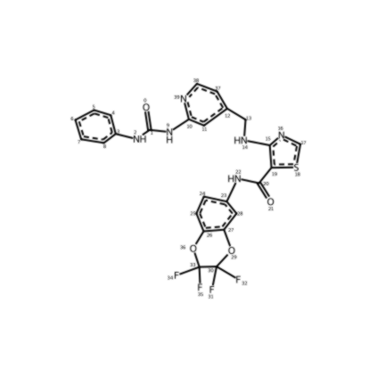 O=C(Nc1ccccc1)Nc1cc(CNc2ncsc2C(=O)Nc2ccc3c(c2)OC(F)(F)C(F)(F)O3)ccn1